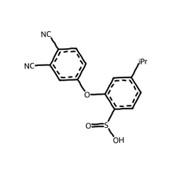 CC(C)c1ccc(S(=O)O)c(Oc2ccc(C#N)c(C#N)c2)c1